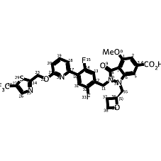 COc1cc(C(=O)O)cc2c1c(=O)n(Cc1cc(F)c(-c3cccc(OCc4ncc(C(F)(F)F)s4)n3)cc1F)n2C[C@@H]1CCO1